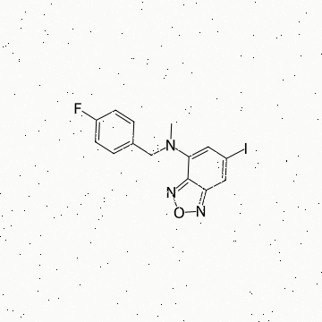 CN(Cc1ccc(F)cc1)c1cc(I)cc2nonc12